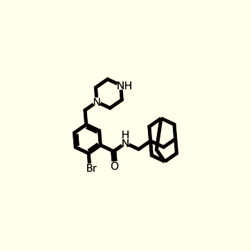 O=C(NCC12CC3CC(CC(C3)C1)C2)c1cc(CN2CCNCC2)ccc1Br